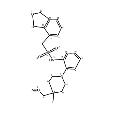 COCC1(C)CCN(c2ccccc2NS(=O)(=O)Cc2cccc3c2COC3)CC1